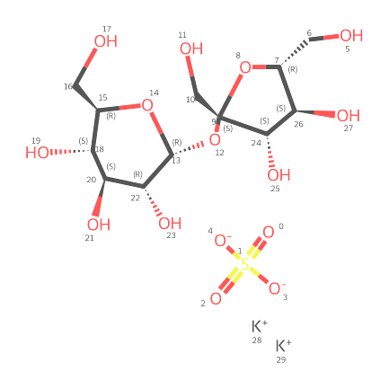 O=S(=O)([O-])[O-].OC[C@H]1O[C@@](CO)(O[C@H]2O[C@H](CO)[C@@H](O)[C@H](O)[C@H]2O)[C@@H](O)[C@@H]1O.[K+].[K+]